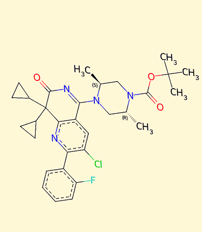 C[C@@H]1CN(C2=NC(=O)C(C3CC3)(C3CC3)c3nc(-c4ccccc4F)c(Cl)cc32)[C@@H](C)CN1C(=O)OC(C)(C)C